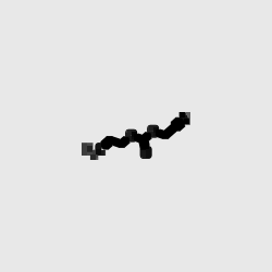 C=CCOC(=O)OCC#N